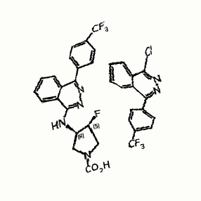 FC(F)(F)c1ccc(-c2nnc(Cl)c3ccccc23)cc1.O=C(O)N1C[C@H](F)[C@H](Nc2nnc(-c3ccc(C(F)(F)F)cc3)c3ccccc23)C1